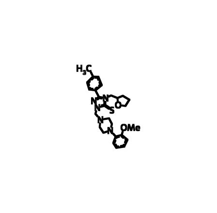 COc1ccccc1N1CCN(Cn2nc(-c3ccc(C)cc3)n(CC3CCCO3)c2=S)CC1